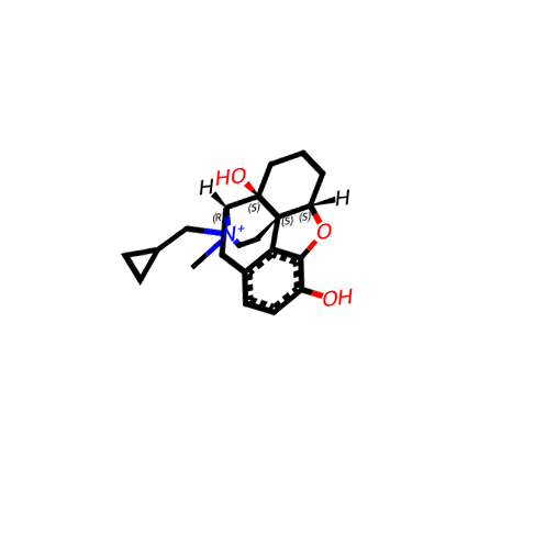 C[N+]1(CC2CC2)CC[C@]23c4c5ccc(O)c4O[C@H]2CCC[C@@]3(O)[C@H]1C5